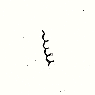 CC=C/C(C)=C/C(C)=C/C(=O)C=C(C)C